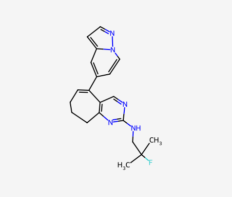 CC(C)(F)CNc1ncc2c(n1)CCCC=C2c1ccn2nccc2c1